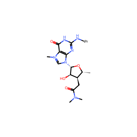 CC(C)Nc1nc2c(c(=O)[nH]1)[n+](C)cn2[C@@H]1O[C@H](C)[C@@H](CC(=O)N(C)C)[C@H]1O